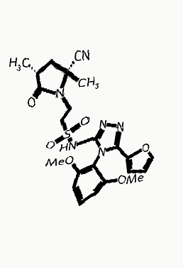 COc1cccc(OC)c1-n1c(NS(=O)(=O)CCN2C(=O)[C@H](C)C[C@]2(C)C#N)nnc1-c1ccco1